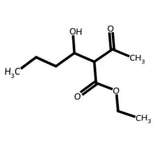 CCCC(O)C(C(C)=O)C(=O)OCC